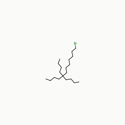 CCCCC(CCCC)(CCCC)CCCCCCCBr